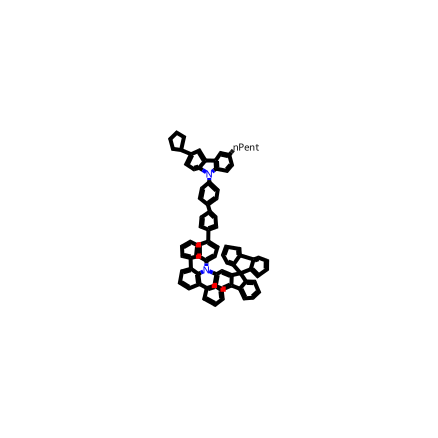 CCCCCc1ccc2c(c1)c1cc(C3CCCC3)ccc1n2-c1ccc(-c2ccc(-c3ccc(N(c4ccc5c(c4)C4(c6ccccc6-c6ccccc64)c4ccccc4-5)c4c(-c5ccccc5)cccc4-c4ccccc4)cc3)cc2)cc1